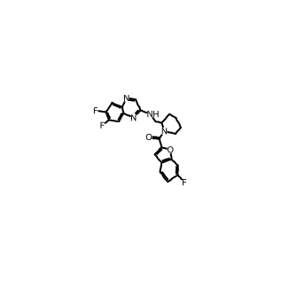 O=C(c1cc2ccc(F)cc2o1)N1CCCCC1CNc1cnc2cc(F)c(F)cc2n1